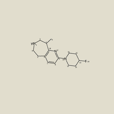 CC1CNCCc2ccc(N3CCC(F)CC3)nc21